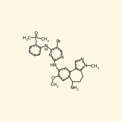 COc1cc2c(cc1Nc1ncc(Br)c(Nc3ccccc3P(C)(C)=O)n1)-c1cnn(C)c1CCC2N